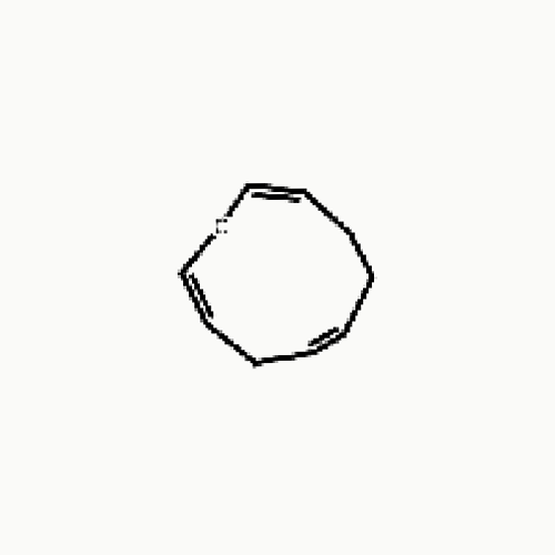 [CH]1/C=C\C/C=C\CC/C=C\1